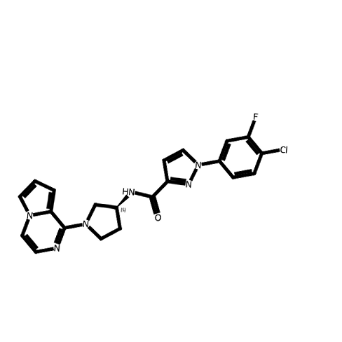 O=C(N[C@H]1CCN(c2nccn3cccc23)C1)c1ccn(-c2ccc(Cl)c(F)c2)n1